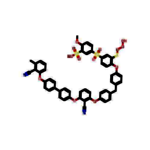 COc1ccc(S(=O)(=O)c2ccc(Oc3ccc(Cc4ccc(Oc5cccc(Oc6ccc(-c7ccc(Oc8cccc(C)c8C#N)cc7)cc6)c5C#N)cc4)cc3)c(SOOO)c2)cc1S(=O)(=O)O